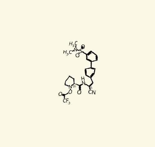 CN(C)S(=O)(=O)c1cccc(-c2ccc(C[C@@H](C#N)NC(=O)[C@@H]3CCCCN3OC(=O)C(F)(F)F)cc2)c1